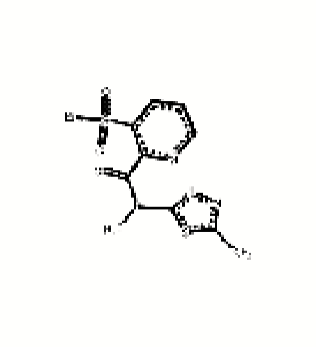 CCS(=O)(=O)c1cccnc1C(=O)N(C)c1nnc(C(F)(F)F)s1